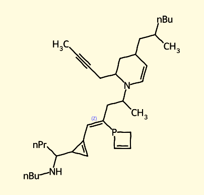 CC#CCC1CC(CC(C)CCCC)C=CN1C(C)C/C(=C/C1=CC1C(CCC)NCCCC)P1C=CC1